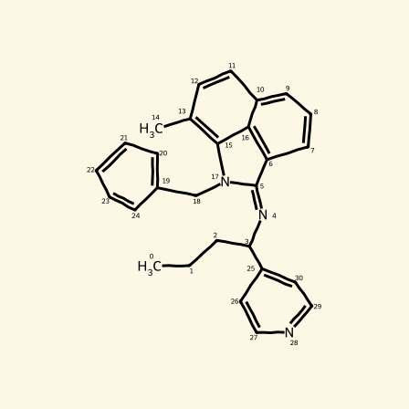 CCCC(N=C1c2cccc3ccc(C)c(c23)N1Cc1ccccc1)c1ccncc1